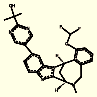 CN1Cc2cccc(OC(F)F)c2[C@H]2C[C@@H]1c1nc3ccc(-c4cnc(C(C)(C)O)nc4)cc3n12